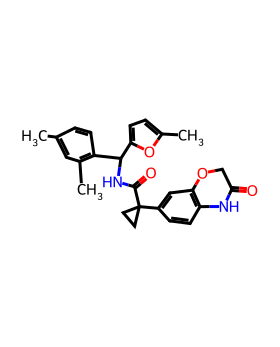 Cc1ccc(C(NC(=O)C2(c3ccc4c(c3)OCC(=O)N4)CC2)c2ccc(C)o2)c(C)c1